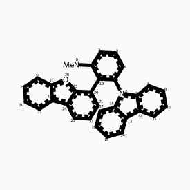 CNc1cccc(-n2c3ccccc3c3ccccc32)c1-c1cccc2c1oc1ccccc12